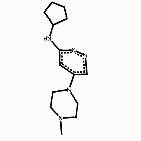 CN1CCN(c2cnnc(NC3CCCC3)c2)CC1